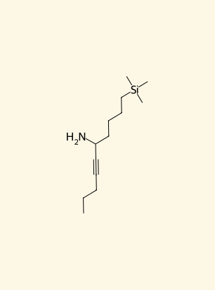 CCCC#CC(N)CCCC[Si](C)(C)C